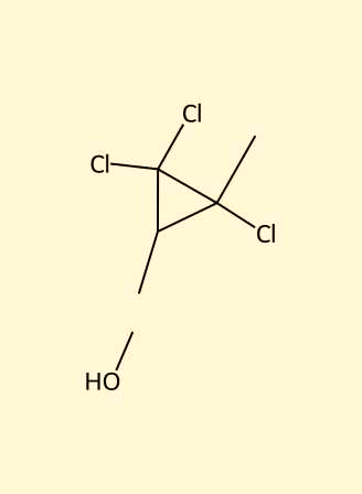 CC1C(C)(Cl)C1(Cl)Cl.CO